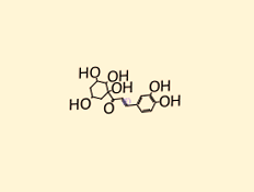 O=C(/C=C/c1ccc(O)c(O)c1)C1(O)CC(O)CC(O)C1O